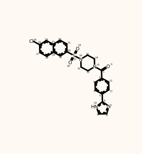 O=C(c1ccc(-c2ncc[nH]2)cc1)N1CCN(S(=O)(=O)c2ccc3cc(Cl)ccc3c2)CC1